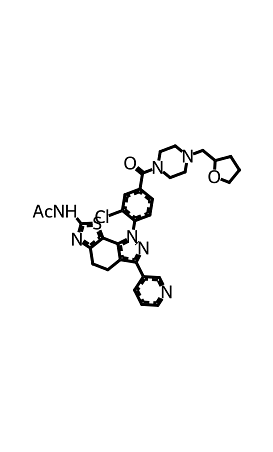 CC(=O)Nc1nc2c(s1)-c1c(c(-c3cccnc3)nn1-c1ccc(C(=O)N3CCN(CC4CCCO4)CC3)cc1Cl)CC2